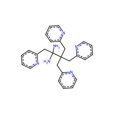 NC(N)(Cc1ccccn1)C(Cc1ccccn1)(Cc1ccccn1)Cc1ccccn1